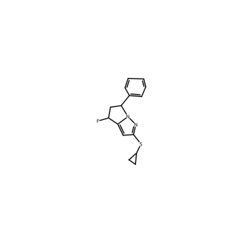 FC1CC(c2ccccc2)n2nc(SC3CC3)cc21